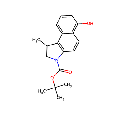 CC1CN(C(=O)OC(C)(C)C)c2ccc3c(O)cccc3c21